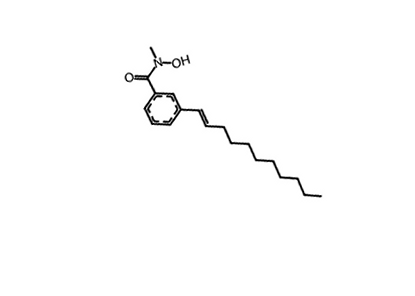 CCCCCCCCC/C=C/c1cccc(C(=O)N(C)O)c1